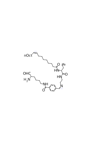 CCCCCCCC/C=C\CCCCCCCC(=O)NC(CC(C)C)C(=O)NCC/N=C\c1ccc(C(=O)NCCCCC(N)C=O)cc1